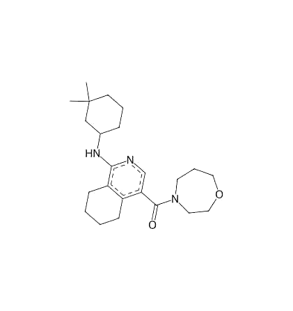 CC1(C)CCCC(Nc2ncc(C(=O)N3CCCOCC3)c3c2CCCC3)C1